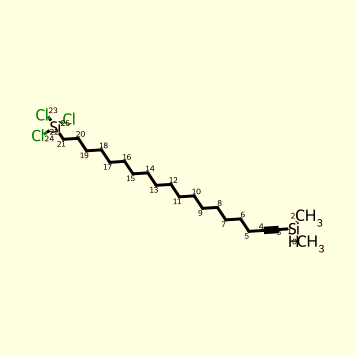 C[SiH](C)C#CCCCCCCCCCCCCCCCCC[Si](Cl)(Cl)Cl